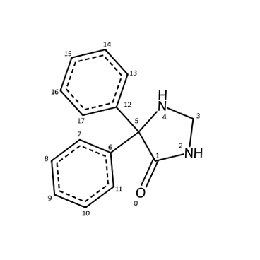 O=C1NCNC1(c1ccccc1)c1ccccc1